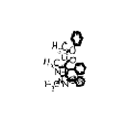 CC1=C(C(=O)OC(C)Oc2ccccc2)C(c2ccccc2[N+](=O)[O-])c2c(C3CCCC3)nn(C)c2N1